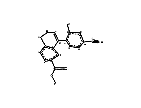 COC(=O)c1ccc2c(c1)C(c1ccc(C#N)cc1C)=CCC2